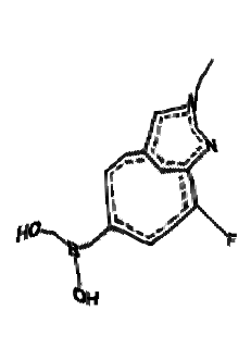 Cn1cc2cc(B(O)O)cc(F)c2n1